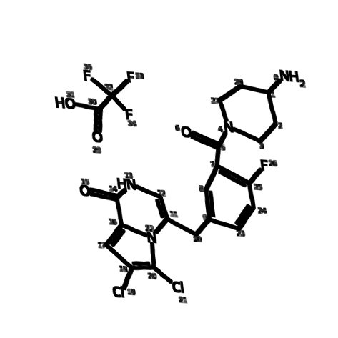 NC1CCN(C(=O)c2cc(Cc3c[nH]c(=O)c4cc(Cl)c(Cl)n34)ccc2F)CC1.O=C(O)C(F)(F)F